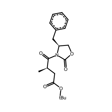 C[C@H](CC(=O)OC(C)(C)C)C(=O)N1C(=O)OC[C@@H]1Cc1ccccc1